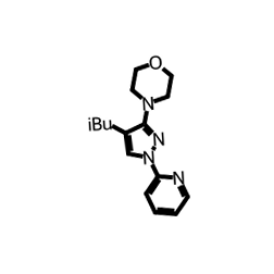 CCC(C)c1cn(-c2ccccn2)nc1N1CCOCC1